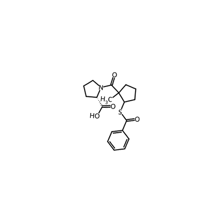 CC1(C(=O)N2CCC[C@H]2C(=O)O)CCCC1SC(=O)c1ccccc1